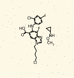 CONC1CC1.O=C(O)c1cc2c(ncn2CCCCCl)c(F)c1Nc1ccc(I)cc1Cl